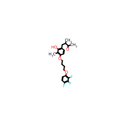 CC(=O)C(C)Cc1ccc(OCCCCOc2ccc(F)c(F)c2F)c(C)c1O